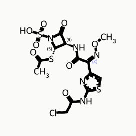 CO/N=C(\C(=O)N[C@@H]1C(=O)N(S(=O)(=O)O)[C@H]1SC(C)=O)c1csc(NC(=O)CCl)n1